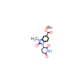 Cn1c(=O)n(C2CCC(=O)NC2=O)c2ccc(C(=O)OC(C)(C)C)cc21